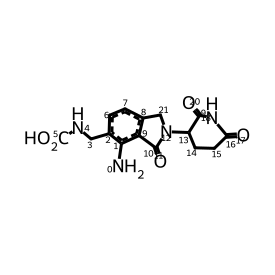 Nc1c(CNC(=O)O)ccc2c1C(=O)N(C1CCC(=O)NC1=O)C2